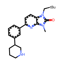 Cn1c(=O)n(CC(C)(C)C)c2ccc(-c3cccc(C4CCCNC4)c3)nc21